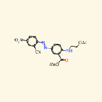 COC(=O)c1cc(N=Nc2ccc([N+](=O)[O-])cc2C#N)ccc1NCCOC(C)=O